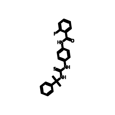 CC(C)(NC(=S)Nc1ccc(NC(=O)c2ccccc2F)cc1)c1ccccc1